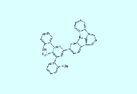 CCC(C)c1ccccc1-c1cc(-c2ccc3c4cccc5c6ccccc6n(c3c2)c54)cc(-c2ccccc2C)c1C